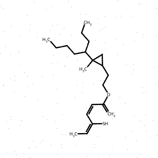 C=C(/C=C\C(S)=C/C)OCCC1CC1(C)C(CCC)CCCC